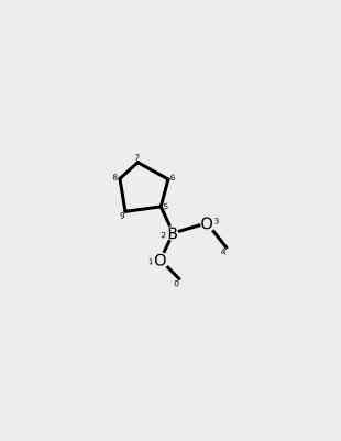 COB(OC)C1CCCC1